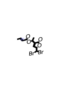 C/C=C/C(=O)OC(C)C1=CC(C(Br)Br)OC1=O